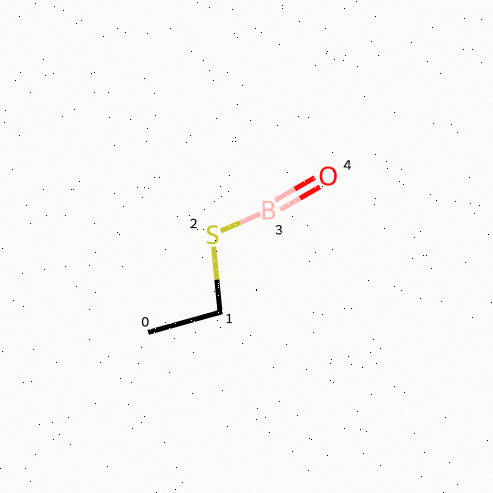 CCSB=O